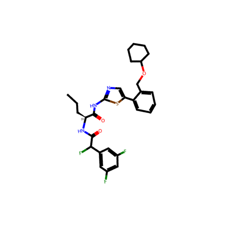 CCC[C@H](NC(=O)C(F)c1cc(F)cc(F)c1)C(=O)Nc1ncc(-c2ccccc2COC2CCCCC2)s1